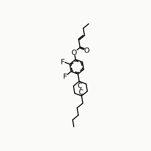 CC/C=C/C(=O)Oc1ccc(C23CCC(CCCCC)(CC2)CC3)c(F)c1F